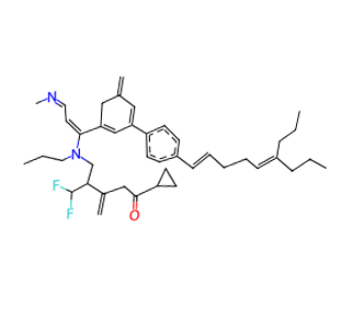 C=C1C=C(c2ccc(/C=C/CCC=C(CCC)CCC)cc2)C=C(/C(=C\C=N/C)N(CCC)CC(C(=C)CC(=O)C2CC2)C(F)F)C1